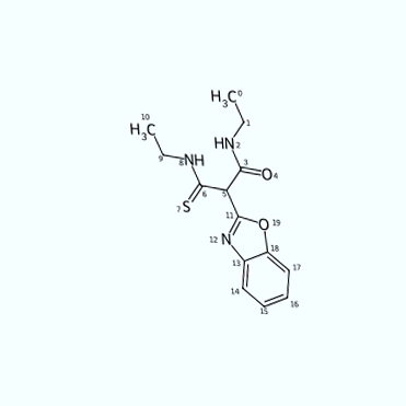 CCNC(=O)C(C(=S)NCC)c1nc2ccccc2o1